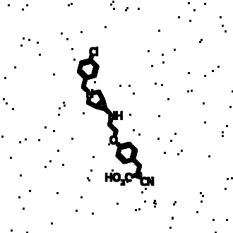 N#C[C@H](Cc1ccc(OCCNC2C3CN(Cc4ccc(Cl)cc4)CC32)cc1)C(=O)O